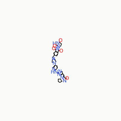 CN(C)C(=O)c1cc2cnc(Nc3ccc(N4CCN(Cc5ccc6c(c5)C(=O)N(N5CCC(=O)NC5=O)C6=O)CC4)cn3)nc2n1C1CCCC1